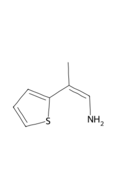 C/C(=C/N)c1cccs1